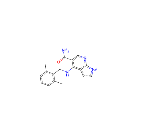 Cc1cccc(C)c1CNc1c(C(N)=O)cnc2[nH]ccc12